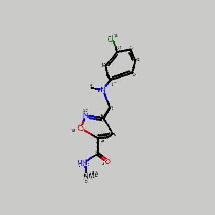 CNNC(=O)c1cc(CN(C)c2cccc(Cl)c2)no1